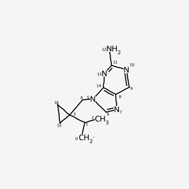 [CH2]C(C)C1(Cn2cnc3cnc(N)nc32)CC1